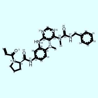 C=CC(=O)N1CCC[C@@H]1C(=O)Nc1ccc(OC)c(Nc2cc(N(C)C(=O)NCc3ccccc3)ncn2)c1